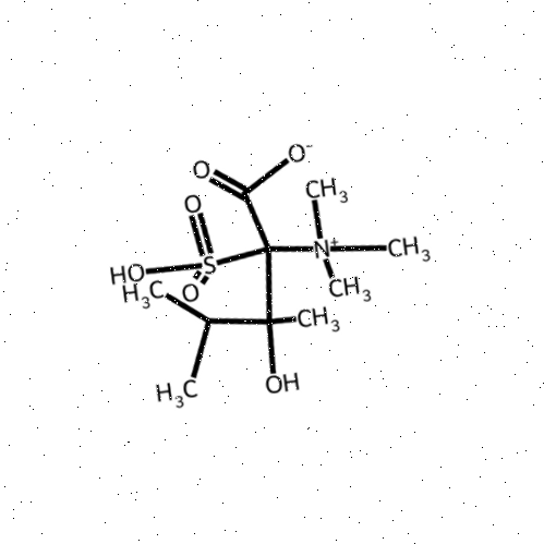 CC(C)C(C)(O)C(C(=O)[O-])([N+](C)(C)C)S(=O)(=O)O